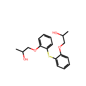 CC(O)COc1ccccc1Sc1ccccc1OCC(C)O